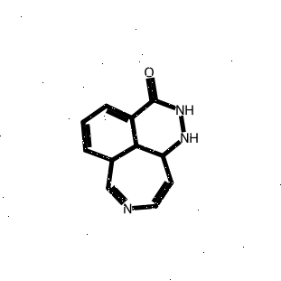 O=C1NNC2C=CN=CC3C=CC=C1C32